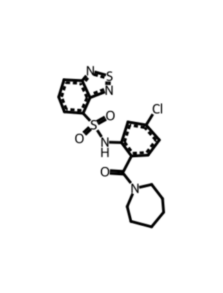 O=C(c1ccc(Cl)cc1NS(=O)(=O)c1cccc2nsnc12)N1CCCCCC1